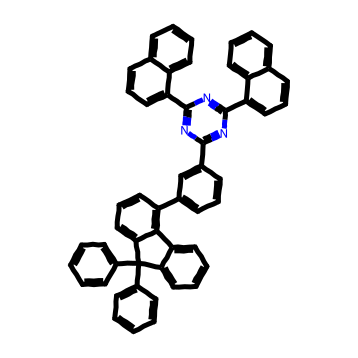 c1ccc(C2(c3ccccc3)c3ccccc3-c3c(-c4cccc(-c5nc(-c6cccc7ccccc67)nc(-c6cccc7ccccc67)n5)c4)cccc32)cc1